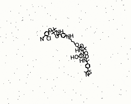 Cc1ncsc1-c1ccc([C@H](C)NC(=O)C2C[C@@H](O)CN2C(=O)C(NC(=O)COCCCCCNc2ccc(C(=O)N[C@H]3C(C)(C)[C@@H](Oc4ccc(C#N)c(Cl)c4)C3(C)C)cc2)C(C)(C)C)cc1